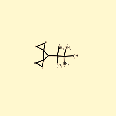 BC(B)(O)C(B)(B)C1C2(CC2)C12CC2